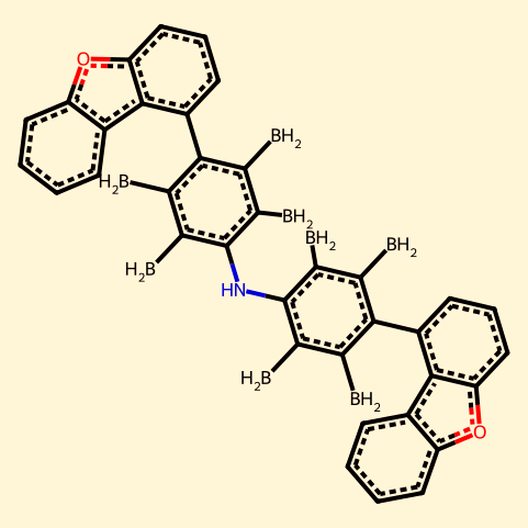 Bc1c(B)c(-c2cccc3oc4ccccc4c23)c(B)c(B)c1Nc1c(B)c(B)c(-c2cccc3oc4ccccc4c23)c(B)c1B